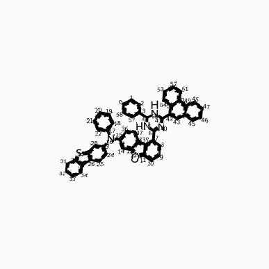 c1ccc(C2NC(c3cccc4oc5cc(N(c6ccccc6)c6ccc7c(c6)sc6ccccc67)ccc5c34)=NC(c3cc4ccccc4c4ccccc34)N2)cc1